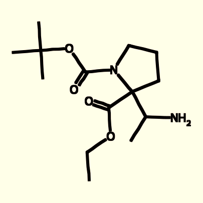 CCOC(=O)C1(C(C)N)CCCN1C(=O)OC(C)(C)C